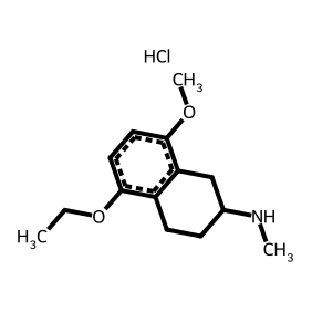 CCOc1ccc(OC)c2c1CCC(NC)C2.Cl